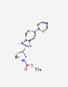 CC(C)CC(CNC(=O)OC(C)(C)C)c1nc2cc(-c3ccncc3)ccc2[nH]1